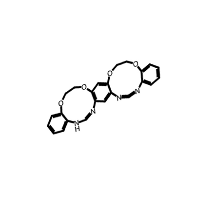 C1=Nc2ccccc2OCCOc2cc3c(cc2N=1)N=CNc1ccccc1OCCO3